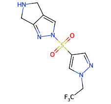 O=S(=O)(c1cnn(CC(F)(F)F)c1)n1cc2c(n1)CNC2